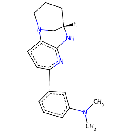 CN(C)c1cccc(-c2ccc3c(n2)N[C@H]2CCCN3C2)c1